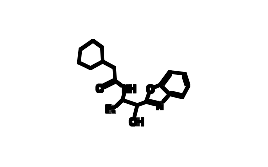 CCC(NC(=O)CC1CCCCC1)C(O)c1nc2ccccc2o1